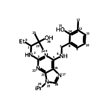 CCC(Nc1nc(NCc2cccc(C)c2O)c2ncn(C(C)C)c2n1)C(C)(C)O